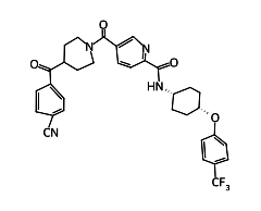 N#Cc1ccc(C(=O)C2CCN(C(=O)c3ccc(C(=O)N[C@H]4CC[C@@H](Oc5ccc(C(F)(F)F)cc5)CC4)nc3)CC2)cc1